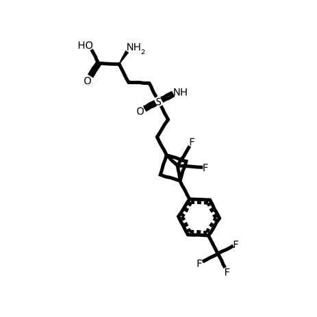 N=S(=O)(CC[C@H](N)C(=O)O)CCC12CC(c3ccc(C(F)(F)F)cc3)(C1)C2(F)F